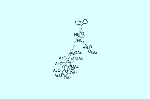 CC(=O)OCC1O[C@@H](OCCCCCC[C@H](NC(=O)OCC2c3ccccc3-c3ccccc32)C(=O)NCCCNC(=O)OC(C)(C)C)[C@@H](OC(C)=O)C(OC(C)=O)[C@@H]1O[C@@H]1OC(COC(C)=O)[C@H](O[C@H]2OC(COC(C)=O)[C@H](OC(C)=O)[C@H](OC(C)=O)C2OC(C)=O)C(OC(C)=O)[C@@H]1OC(C)=O